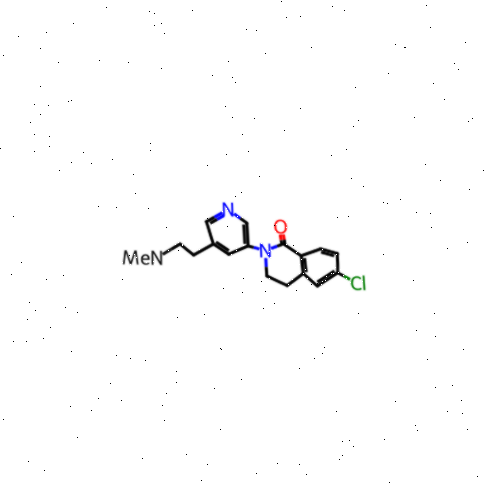 CNCCc1cncc(N2CCc3cc(Cl)ccc3C2=O)c1